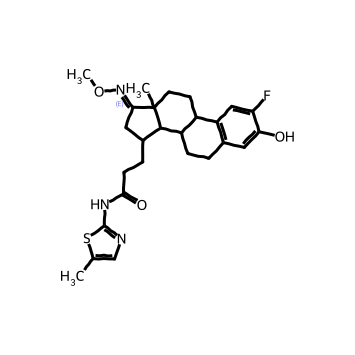 CO/N=C1\CC(CCC(=O)Nc2ncc(C)s2)C2C3CCc4cc(O)c(F)cc4C3CCC12C